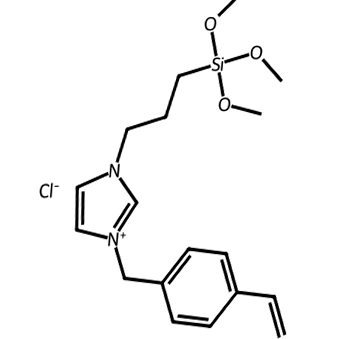 C=Cc1ccc(C[n+]2ccn(CCC[Si](OC)(OC)OC)c2)cc1.[Cl-]